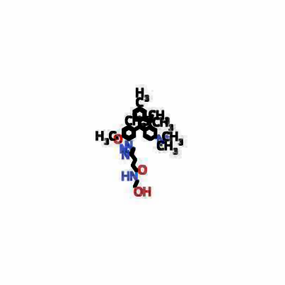 COc1cc(C)c(C2=C3C=CC(=[N+](C)C)C=C3[Si](C)(C)c3cc(C)ccc32)cc1-n1cc(CCC(=O)NCCO)nn1